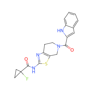 O=C(c1cc2ccccc2[nH]1)N1CCc2nc(NC(=O)C3(F)CC3)sc2C1